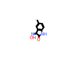 [CH2]c1ccc2c(c1)C(=NO)C(=O)N2